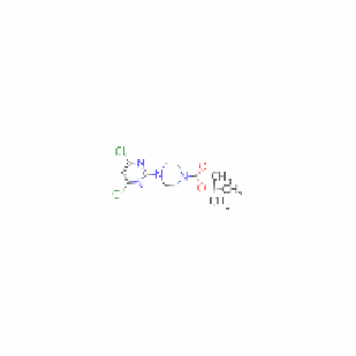 CC(C)(C)OC(=O)N1CCN(c2nc(Cl)cc(Cl)n2)CC1